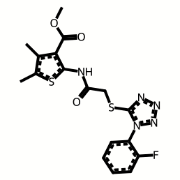 COC(=O)c1c(NC(=O)CSc2nnnn2-c2ccccc2F)sc(C)c1C